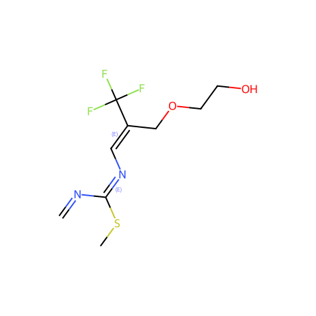 C=N/C(=N\C=C(/COCCO)C(F)(F)F)SC